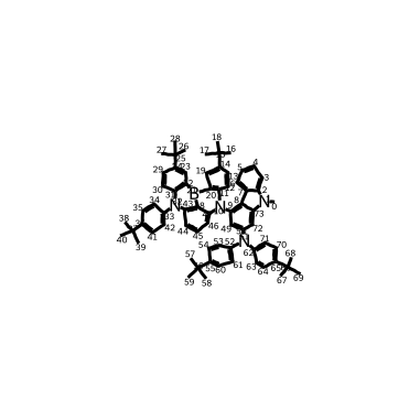 Cn1c2ccccc2c2c(N3c4ccc(C(C)(C)C)cc4B4c5cc(C(C)(C)C)ccc5N(c5ccc(C(C)(C)C)cc5)c5cccc3c54)cc(N(c3ccc(C(C)(C)C)cc3)c3ccc(C(C)(C)C)cc3)cc21